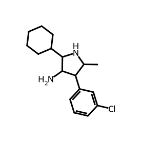 CC1NC(C2CCCCC2)C(N)C1c1cccc(Cl)c1